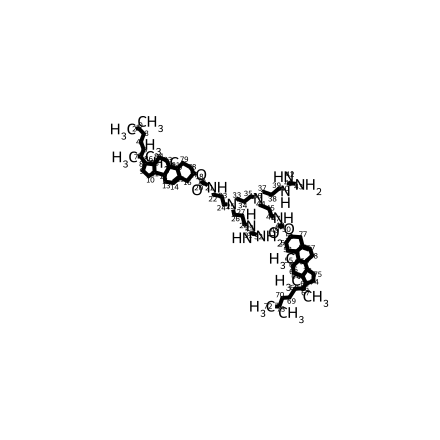 CC(C)CCCC(C)C1CCC2C3CC=C4CC(OC(=O)NCCCN(CCCNC(=N)N)CCCN(CCCNC(=N)N)CCCNC(=O)OC5CCC6(C)C(=CCC7C6CCC6(C)C(C(C)CCCC(C)C)CCC76)C5)CCC4(C)C3CCC12C